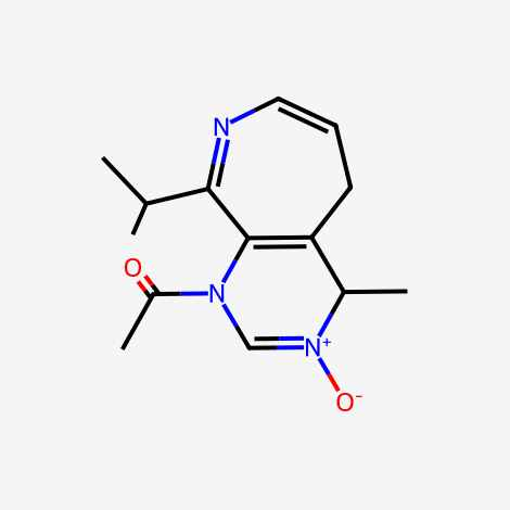 CC(=O)N1C=[N+]([O-])C(C)C2=C1C(C(C)C)=NC=CC2